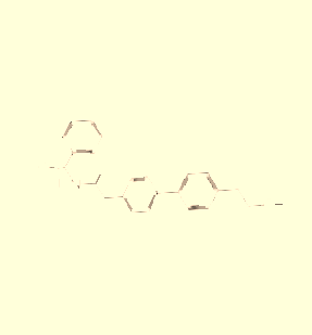 CCCc1ccc(-c2ccc(CC(=O)NC(C)c3ccccc3)cc2)cc1